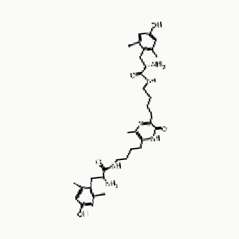 Cc1cc(O)cc(C)c1C[C@H](N)C(=O)NCCCCc1[nH]c(=O)c(CCCCNC(=O)[C@@H](N)Cc2c(C)cc(O)cc2C)nc1C